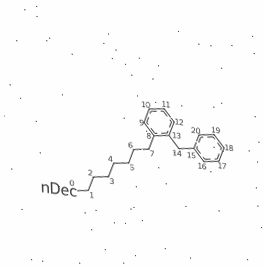 CCCCCCCCCCCCCCCCCc1ccccc1Cc1ccccc1